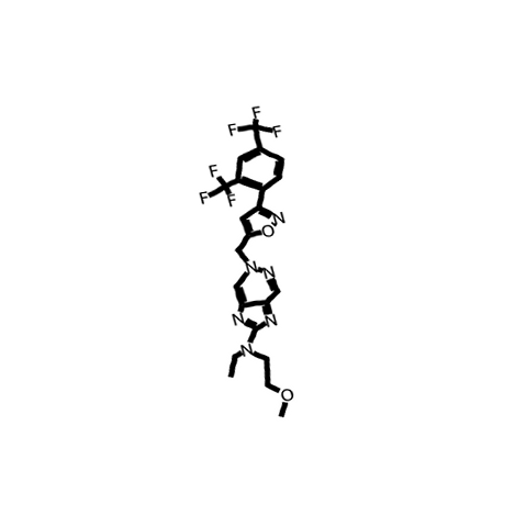 CCN(CCOC)c1nc2cnn(Cc3cc(-c4ccc(C(F)(F)F)cc4C(F)(F)F)no3)cc-2n1